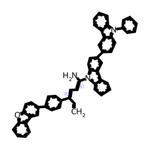 C=C/C(=C\C=C(/N)n1c2ccccc2c2cc(-c3ccc4c(c3)c3ccccc3n4-c3ccccc3)ccc21)c1ccc(-c2ccc3oc4ccccc4c3c2)cc1